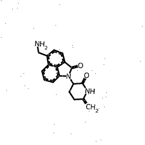 C=C1CCC(N2C(=O)c3ccc(CN)c4cccc2c34)C(=O)N1